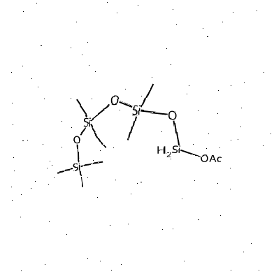 CC(=O)O[SiH2]O[Si](C)(C)O[Si](C)(C)O[Si](C)(C)C